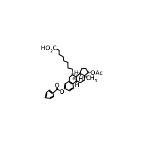 CC(=O)O[C@H]1CC[C@H]2[C@@H]3[C@H](CCCCCCCC(=O)O)Cc4cc(OC(=O)c5ccccc5)ccc4[C@H]3CC[C@]12C